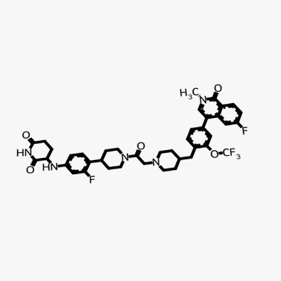 Cn1cc(-c2ccc(CC3CCN(CC(=O)N4CCC(c5ccc(NC6CCC(=O)NC6=O)cc5F)CC4)CC3)c(OC(F)(F)F)c2)c2cc(F)ccc2c1=O